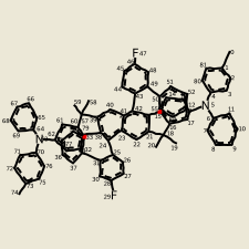 Cc1ccc(N(c2ccccc2)c2ccc3c(c2)C(C)(C)c2cc4c(-c5ccc(F)cc5-c5ccccc5)c5c(cc4c(-c4ccc(F)cc4-c4ccccc4)c2-3)C(C)(C)c2cc(N(c3ccccc3)c3ccc(C)cc3)ccc2-5)cc1